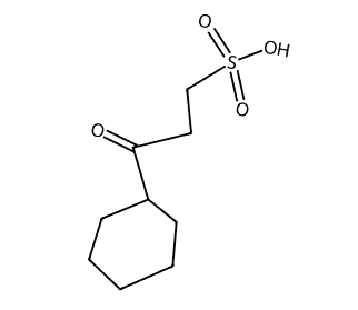 O=C(CCS(=O)(=O)O)C1CCCCC1